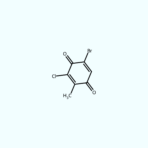 CC1=C(Cl)C(=O)C(Br)=CC1=O